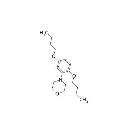 CCCCOc1[c]cc(OCCCC)c(N2CCOCC2)c1